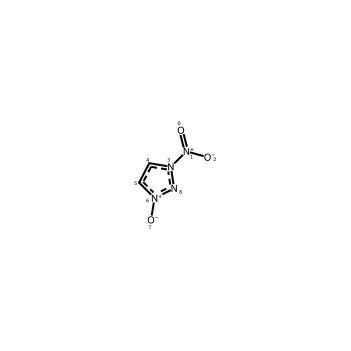 O=[N+]([O-])n1cc[n+]([O-])n1